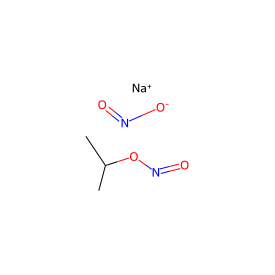 CC(C)ON=O.O=N[O-].[Na+]